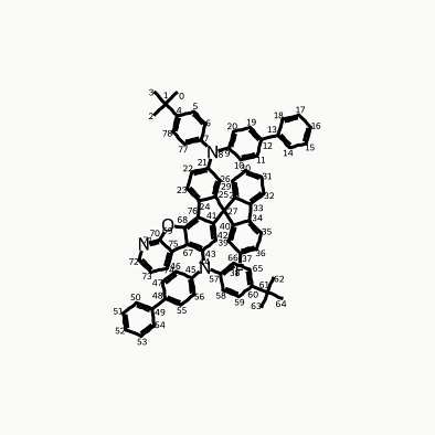 CC(C)(C)c1ccc(N(c2ccc(-c3ccccc3)cc2)c2ccc3c(c2)C2(c4ccccc4-c4ccc(F)cc42)c2cc(N(c4ccc(-c5ccccc5)cc4)c4ccc(C(C)(C)C)cc4)c4c(oc5ncccc54)c2-3)cc1